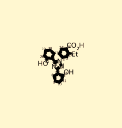 CCc1cc(-n2nc(-c3ccccc3O)nc2-c2ccccc2O)ccc1C(=O)O